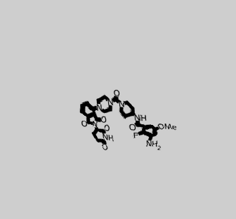 COc1cc(N)c(F)c(C(=O)NC2CCN(C(=O)N3CCN(c4cccc5c4C(=O)N(C4CCC(=O)NC4=O)C5=O)CC3)CC2)c1